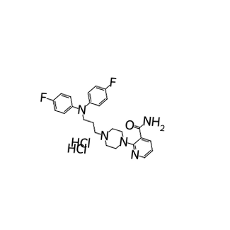 Cl.Cl.NC(=O)c1cccnc1N1CCN(CCCN(c2ccc(F)cc2)c2ccc(F)cc2)CC1